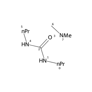 CCCNC(=O)NCCC.CNC